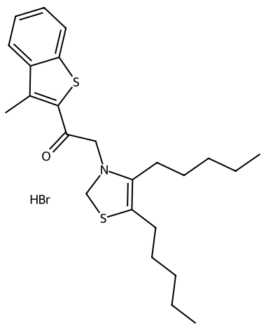 Br.CCCCCC1=C(CCCCC)N(CC(=O)c2sc3ccccc3c2C)CS1